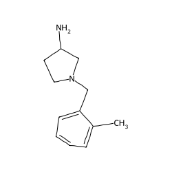 Cc1ccccc1CN1CCC(N)C1